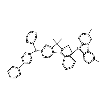 Cc1ccc2c(c1)c1cc(C)ccc1n2-c1cc2c(c3ccccc13)-c1ccc(N(c3ccccc3)c3ccc(-c4ccccc4)cc3)cc1C2(C)C